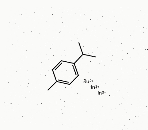 Cc1ccc(C(C)C)cc1.[In+3].[In+3].[Ru+2]